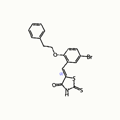 O=C1NC(=S)S/C1=C\c1cc(Br)ccc1OCCc1ccccc1